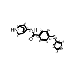 O=C(NC1CC2CC1CN2)c1ccc(Sc2cncs2)cc1